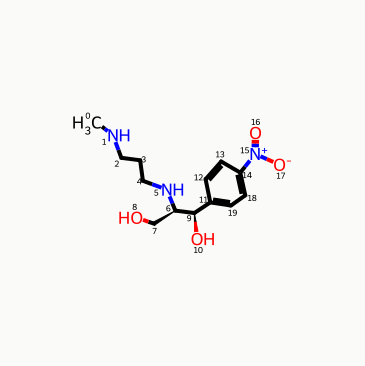 CNCCCN[C@H](CO)[C@H](O)c1ccc([N+](=O)[O-])cc1